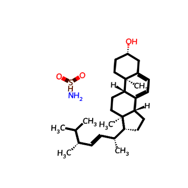 CC(C)[C@@H](C)/C=C/[C@@H](C)[C@H]1CC[C@H]2C3=CC=C4C[C@@H](O)CC[C@]4(C)[C@H]3CC[C@]12C.N[SH](=O)=O